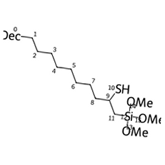 CCCCCCCCCCCCCCCCCCC(S)C[Si](OC)(OC)OC